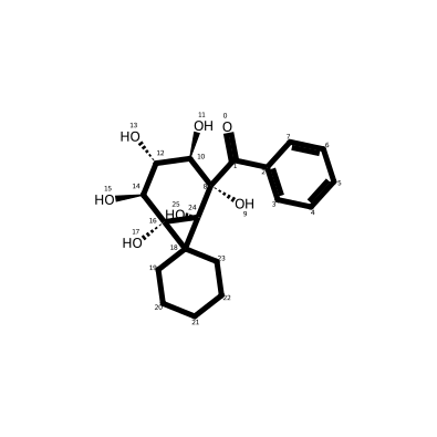 O=C(c1ccccc1)[C@]1(O)[C@H](O)[C@@H](O)[C@H](O)[C@]2(O)C3(CCCCC3)[C@]12O